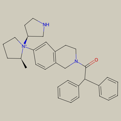 C[C@H]1CCC[N+]1(c1ccc2c(c1)CCN(C(=O)C(c1ccccc1)c1ccccc1)C2)[C@H]1CCNC1